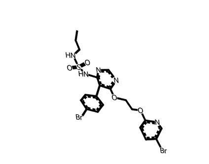 CCCNS(=O)(=O)Nc1ncnc(OCCOc2ccc(Br)cn2)c1-c1ccc(Br)cc1